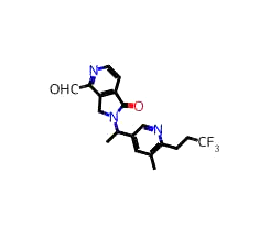 Cc1cc(C(C)N2Cc3c(ccnc3C=O)C2=O)cnc1CCC(F)(F)F